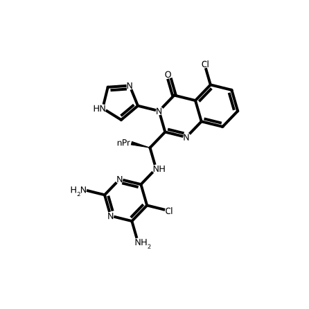 CCC[C@H](Nc1nc(N)nc(N)c1Cl)c1nc2cccc(Cl)c2c(=O)n1-c1c[nH]cn1